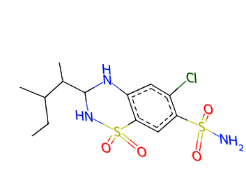 CCC(C)C(C)C1Nc2cc(Cl)c(S(N)(=O)=O)cc2S(=O)(=O)N1